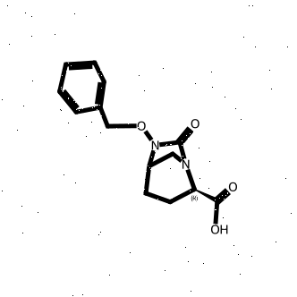 O=C(O)[C@H]1CCC2CN1C(=O)N2OCc1ccccc1